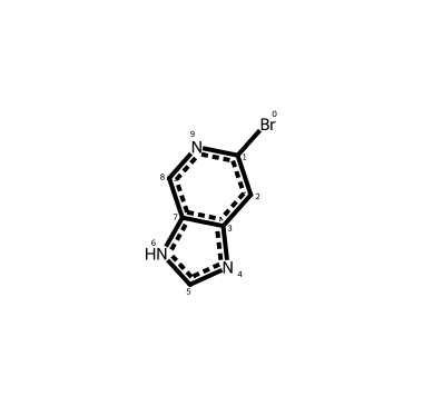 Brc1cc2nc[nH]c2cn1